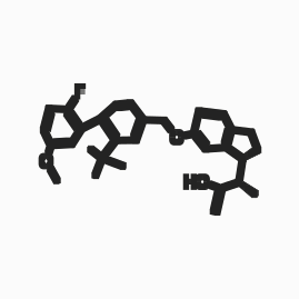 C=C(O)[C@H](C)[C@@H]1CCc2ccc(OCc3ccc(-c4cc(OC)ccc4F)c(C(C)(C)C)c3)cc21